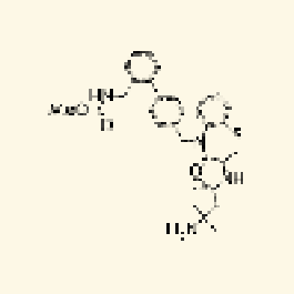 COC(=O)NCc1ccccc1-c1ccc(CN2C(=O)[C@H](NC(=O)CC(C)(C)N)CSc3ccccc32)cc1